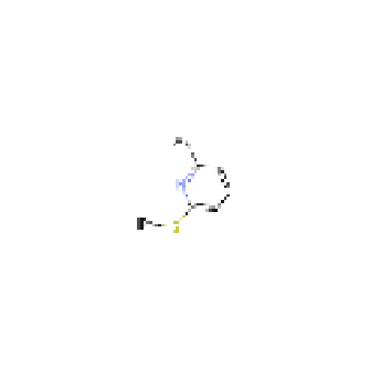 CC(=O)c1cccc(SC(C)C)n1